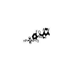 CCCS(=O)(=O)Nc1ccc(F)c(NC(=O)C2CSc3c(C)ncnc32)c1Cl